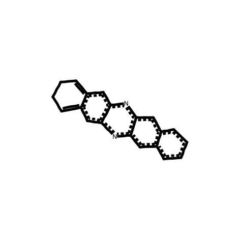 C1=c2cc3nc4cc5ccccc5cc4nc3cc2=CCC1